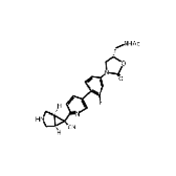 CC(=O)NC[C@H]1CN(c2ccc(-c3ccc([C@@]4(C#N)[C@@H]5CNC[C@@H]54)nc3)c(F)c2)C(=O)O1